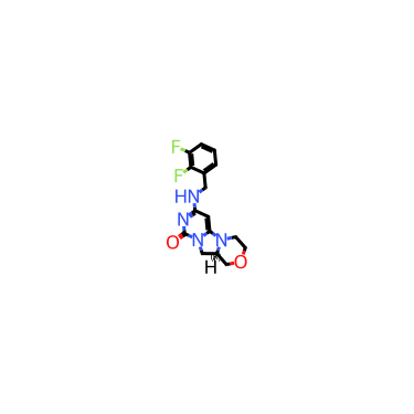 O=c1nc(NCc2cccc(F)c2F)cc2n1C[C@@H]1COCCN21